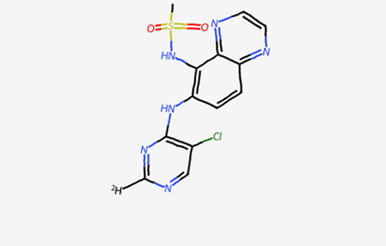 [2H]c1ncc(Cl)c(Nc2ccc3nccnc3c2NS(C)(=O)=O)n1